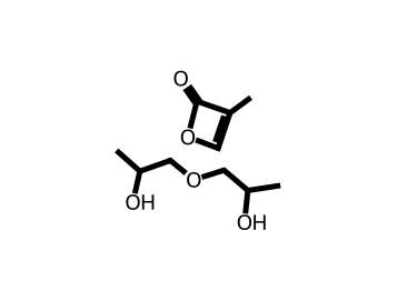 CC(O)COCC(C)O.CC1=COC1=O